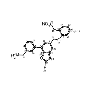 NCc1cccc(-c2cc(COc3cc(F)ccc3CC(=O)O)cc3cc(F)oc23)c1